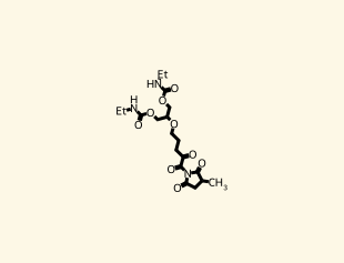 CCNC(=O)OCC(COC(=O)NCC)OCCCC(=O)C(=O)N1C(=O)CC(C)C1=O